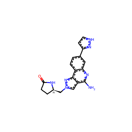 Nc1nc2cc(-c3cc[nH]n3)ccc2c2nn(C[C@H]3CCC(=O)N3)cc12